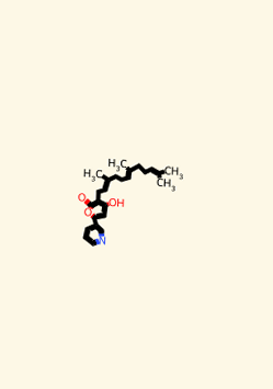 CC(C)=CCC/C(C)=C/CC/C(C)=C/Cc1c(O)cc(-c2cccnc2)oc1=O